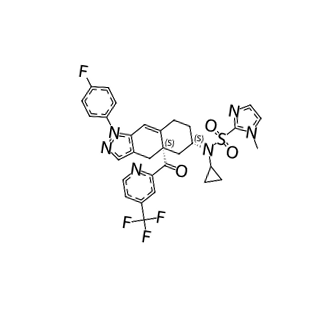 Cn1ccnc1S(=O)(=O)N(C1CC1)[C@H]1CCC2=Cc3c(cnn3-c3ccc(F)cc3)C[C@]2(C(=O)c2cc(C(F)(F)F)ccn2)C1